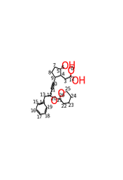 O=C(O)CC1C(O)CCC1C#CC(Cc1ccccc1)OC1CCCCO1